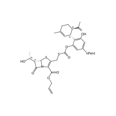 C=CCOC(=O)C1=C(CSC(=O)Oc2cc(CCCCC)cc(O)c2[C@@H]2C=C(C)CC[C@H]2C(=C)C)SC2[C@@H]([C@@H](C)O)C(=O)N12